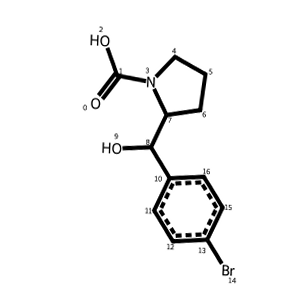 O=C(O)N1CCCC1C(O)c1ccc(Br)cc1